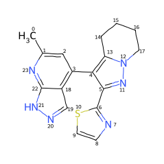 Cc1cc(-c2c(-c3nccs3)nn3c2CCCC3)c2cn[nH]c2n1